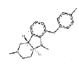 Cc1ccc(Sc2cccc3c2N(C)[C@H]2CCN(C)C[C@H]32)cc1